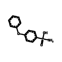 NP(=O)(O)c1ccc(Oc2ccccc2)cc1